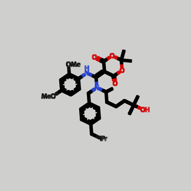 COc1ccc(NC(=C2C(=O)OC(C)(C)OC2=O)N(Cc2ccc(CC(C)C)cc2)C(C)CCCC(C)(C)O)c(OC)c1